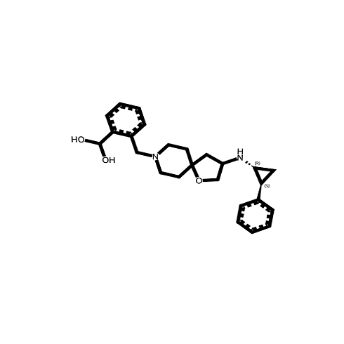 OC(O)c1ccccc1CN1CCC2(CC1)CC(N[C@@H]1C[C@H]1c1ccccc1)CO2